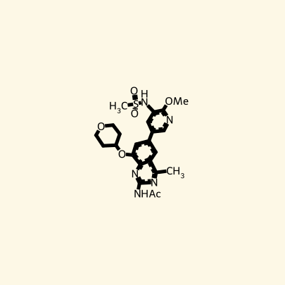 COc1ncc(-c2cc(OC3CCOCC3)c3nc(NC(C)=O)nc(C)c3c2)cc1NS(C)(=O)=O